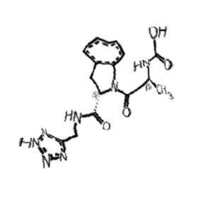 C[C@H](NC(=O)O)C(=O)N1c2ccccc2C[C@H]1C(=O)NCc1nn[nH]n1